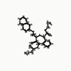 COCC(=O)N1C[C@H](NCc2ccc3ccccc3c2)C(=O)N(CC(=O)OC)c2ccccc21